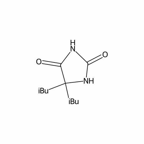 CCC(C)C1(C(C)CC)NC(=O)NC1=O